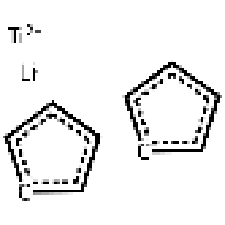 [Li].[Ti+2].c1cc[cH-]c1.c1cc[cH-]c1